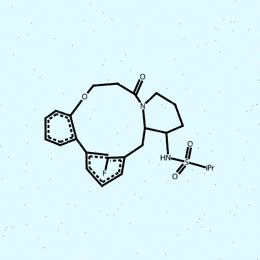 CC(C)S(=O)(=O)NC1CCCN2C(=O)CCOc3ccccc3-c3cccc(c3F)CC12